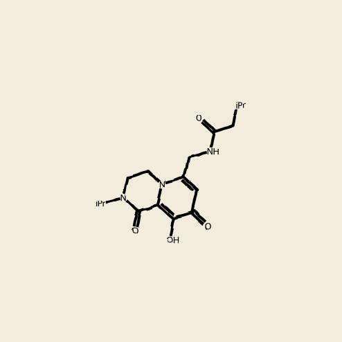 CC(C)CC(=O)NCc1cc(=O)c(O)c2n1CCN(C(C)C)C2=O